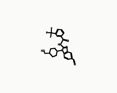 O=Cc1ccc2c(c1)nc(NC(=O)c1cccc(C(F)(F)F)c1)n2C1CCC(CO)CC1